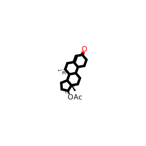 CC(=O)O[C@H]1CCC2C3C(CC[C@@]21C)C1CCC(=O)C=C1C[C@H]3C